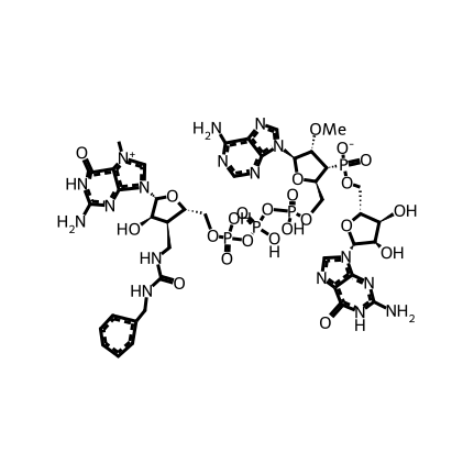 CO[C@@H]1[C@H](P(=O)([O-])OC[C@H]2O[C@@H](n3cnc4c(=O)[nH]c(N)nc43)[C@H](O)[C@@H]2O)[C@@H](COP(=O)(O)OP(=O)(O)OP(=O)(O)OC[C@H]2O[C@@H](n3c[n+](C)c4c(=O)[nH]c(N)nc43)[C@H](O)[C@@H]2CNC(=O)NCc2ccccc2)O[C@H]1n1cnc2c(N)ncnc21